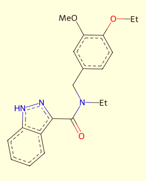 CCOc1ccc(CN(CC)C(=O)c2n[nH]c3ccccc23)cc1OC